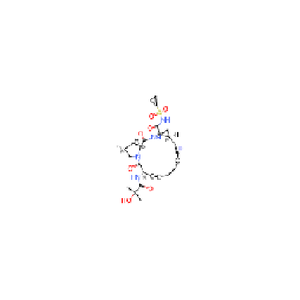 C[C@@H]1C[C@H]2C(=O)N[C@]3(C(=O)NS(=O)(=O)C4CC4)C[C@H]3/C=C\CCCCC[C@H](NC(=O)C(C)(C)O)C(=O)N2C1